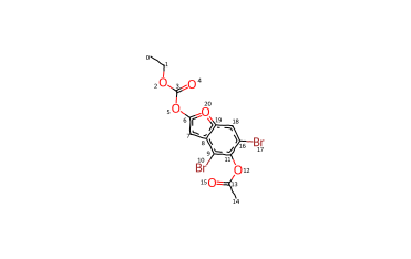 CCOC(=O)Oc1cc2c(Br)c(OC(C)=O)c(Br)cc2o1